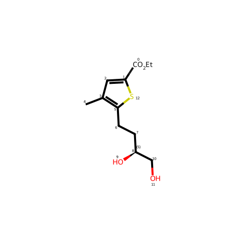 CCOC(=O)c1cc(C)c(CC[C@H](O)CO)s1